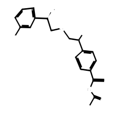 CC(=O)NC(=O)c1ccc(C(C)CNC[C@H](O)c2cccc(Cl)c2)cc1